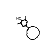 Cc1cc(C2=CCCCCCCCCCC2)cc(C)c1O